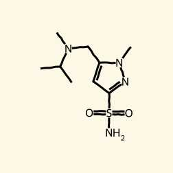 CC(C)N(C)Cc1cc(S(N)(=O)=O)nn1C